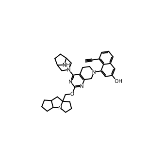 C#Cc1cccc2cc(O)cc(N3CCc4c(nc(OCC56CCCN5C5CCCC5C6)nc4N4CC5CCC(C4)N5)C3)c12